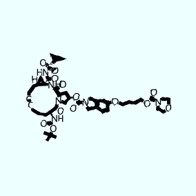 CC(C)(C)OC(=O)N[C@H]1CCCCC/C=C\[C@@H]2C[C@@]2(C(=O)NS(=O)(=O)C2CC2)NC(=O)C2C[C@@H](OC(=O)N3Cc4ccc(OCCCCOC(=O)N5CCOCC5)cc4C3)CN2C1=O